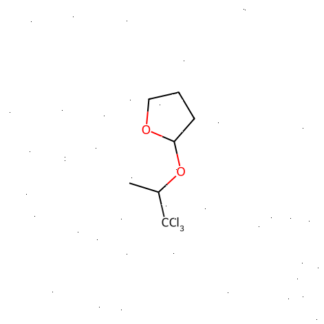 CC(OC1CCCO1)C(Cl)(Cl)Cl